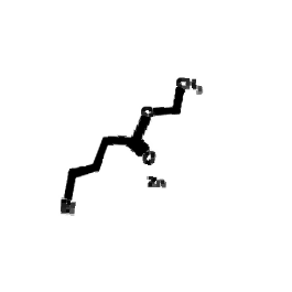 CCOC(=O)CCCBr.[Zn]